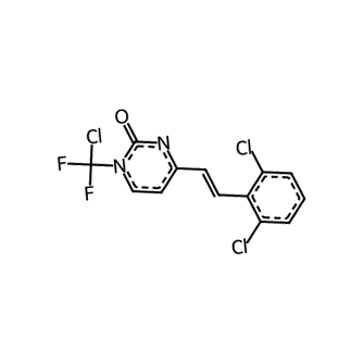 O=c1nc(C=Cc2c(Cl)cccc2Cl)ccn1C(F)(F)Cl